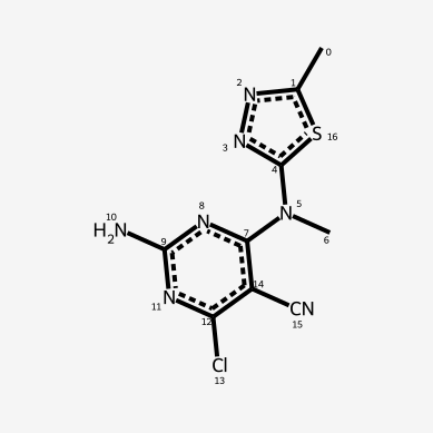 Cc1nnc(N(C)c2nc(N)nc(Cl)c2C#N)s1